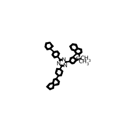 C[Si]1(C)c2ccc(-c3nc(-c4ccc(-c5ccccc5)cc4)nc(-c4ccc(-c5ccc6ccccc6c5)cc4)n3)cc2-c2c1ccc1ccccc21